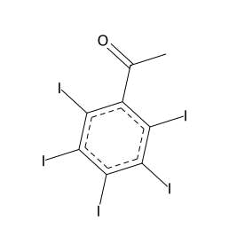 CC(=O)c1c(I)c(I)c(I)c(I)c1I